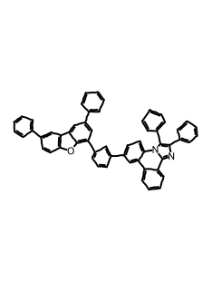 c1ccc(-c2ccc3oc4c(-c5cccc(-c6ccc7c(c6)c6ccccc6c6nc(-c8ccccc8)c(-c8ccccc8)n76)c5)cc(-c5ccccc5)cc4c3c2)cc1